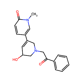 Cn1cc(C2=CC(O)CN(CC(=O)c3ccccc3)C2)ccc1=O